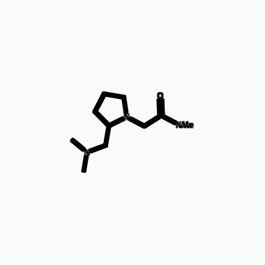 CNC(=O)CN1CCCC1CN(C)C